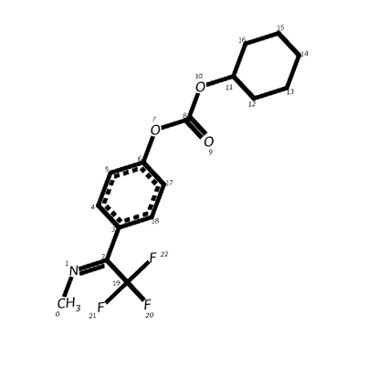 C/N=C(/c1ccc(OC(=O)OC2CCCCC2)cc1)C(F)(F)F